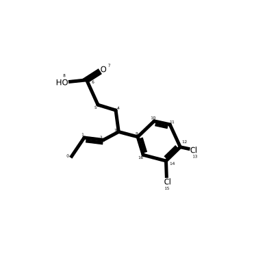 C/C=C/C(CCC(=O)O)c1ccc(Cl)c(Cl)c1